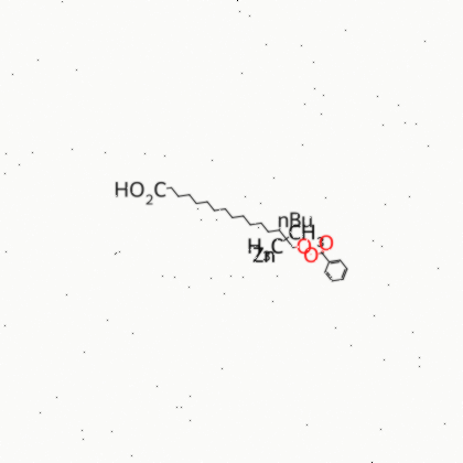 CCCCC(CCCCCCCCCCCCC(=O)O)C(C)(C)COOC(=O)c1ccccc1.[Zn]